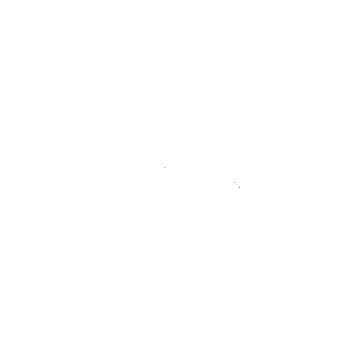 Cc1ccc(C(C)C)cc1OC(=O)N(C)C